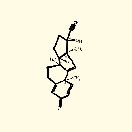 C#C[C@@]1(O)CC[C@H]2[C@@H]3CCC4=CC(=O)C=C[C@]4(C)C3=CC[C@@]21C